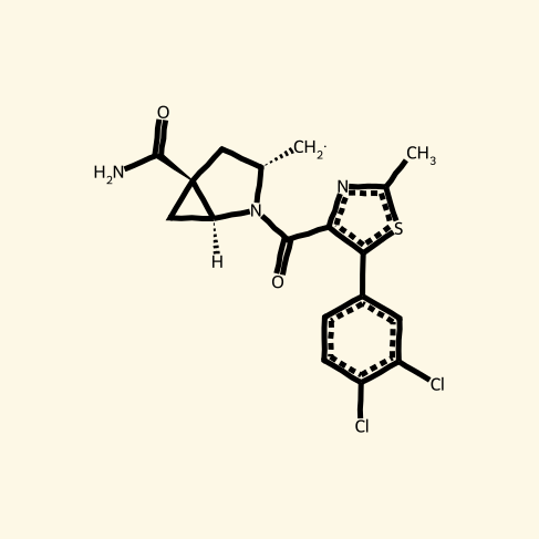 [CH2][C@H]1C[C@@]2(C(N)=O)C[C@@H]2N1C(=O)c1nc(C)sc1-c1ccc(Cl)c(Cl)c1